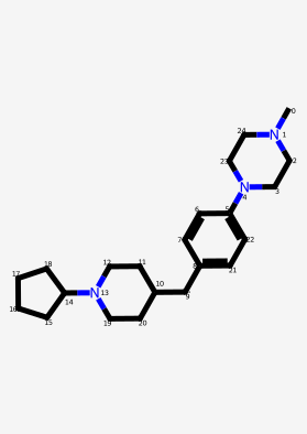 CN1CCN(c2ccc([CH]C3CCN(C4CCCC4)CC3)cc2)CC1